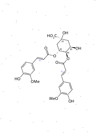 COc1cc(/C=C/C(=O)O[C@@H]2[C@H](O)C[C@@](O)(C(=O)O)C[C@H]2OC(=O)/C=C/c2ccc(O)c(OC)c2)ccc1O